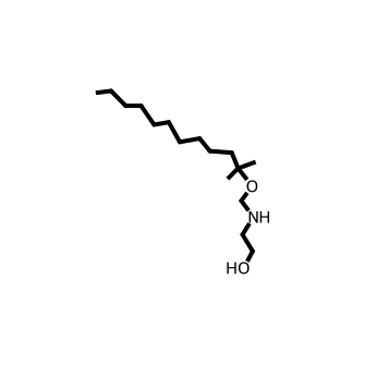 CCCCCCCCCCC(C)(C)OCNCCO